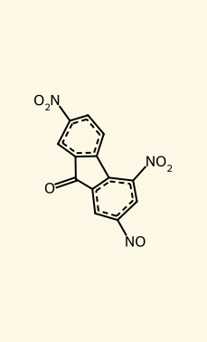 O=Nc1cc2c(c([N+](=O)[O-])c1)-c1ccc([N+](=O)[O-])cc1C2=O